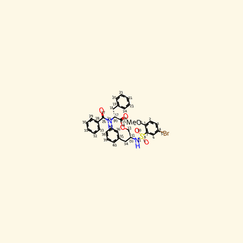 COc1ccc(Br)cc1S(=O)(=O)N[C@H](COC(=O)[C@@H](Cc1ccccc1)NC(=O)c1ccccc1)Cc1ccccc1